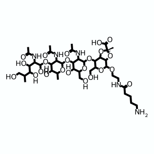 CC(=O)NC(C(O)OC1C(O)C(C)OC(OC2C(O)C(CO)OC(OC3C(CO)OC(OCCNC(=O)CCCCN)C4O[C@@](C)(C(=O)O)OC34)C2NC(C)=O)C1NC(C)=O)C(O)C(O)C(C)CO